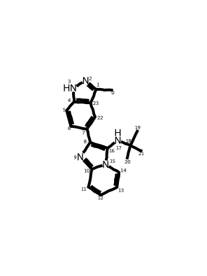 Cc1n[nH]c2ccc(-c3nc4ccccn4c3NC(C)(C)C)cc12